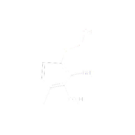 Cc1ccc(SOO)c(N)c1C(=O)O